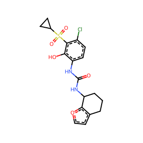 O=C(Nc1ccc(Cl)c(S(=O)(=O)C2CC2)c1O)NC1CCCc2ccoc21